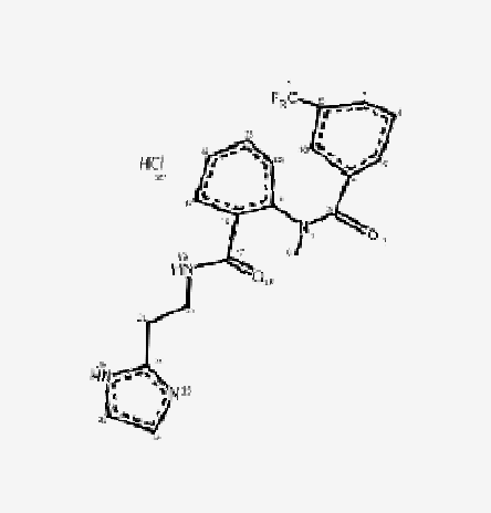 CN(C(=O)c1cccc(C(F)(F)F)c1)c1ccccc1C(=O)NCCc1ncc[nH]1.Cl